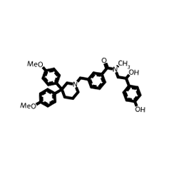 COc1ccc(C2(c3ccc(OC)cc3)CCCN(Cc3cccc(C(=O)N(C)CC(O)c4ccc(O)cc4)c3)C2)cc1